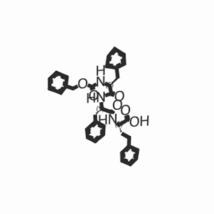 O=C(N[C@@H](Cc1ccccc1)C(=O)N[C@@H](Cc1ccccc1)C(=O)N[C@@H](CCc1ccccc1)C(=O)O)OCc1ccccc1